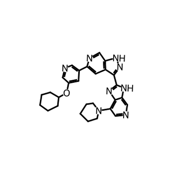 c1ncc(-c2cc3c(-c4nc5c(N6CCCCC6)cncc5[nH]4)n[nH]c3cn2)cc1OC1CCCCC1